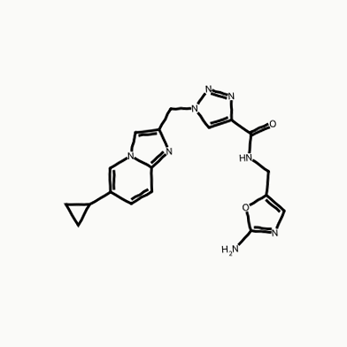 Nc1ncc(CNC(=O)c2cn(Cc3cn4cc(C5CC5)ccc4n3)nn2)o1